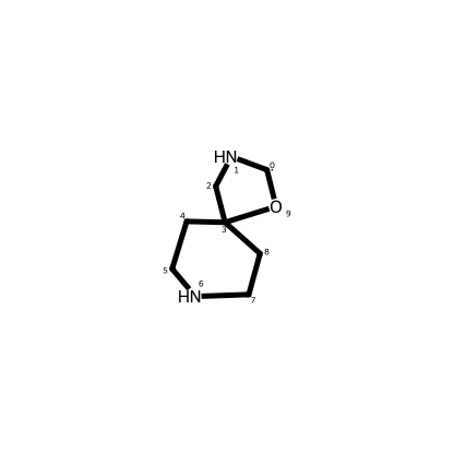 [CH]1NCC2(CCNCC2)O1